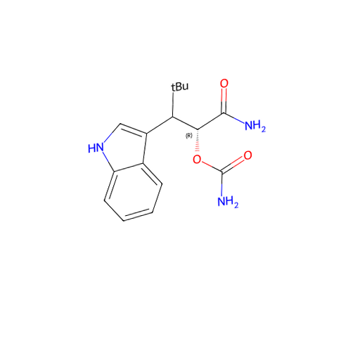 CC(C)(C)C(c1c[nH]c2ccccc12)[C@@H](OC(N)=O)C(N)=O